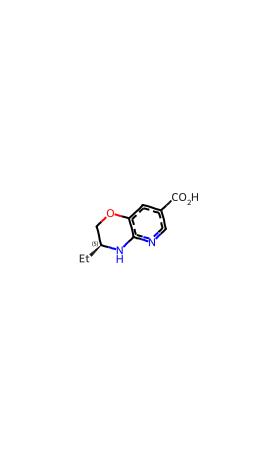 CC[C@H]1COc2cc(C(=O)O)cnc2N1